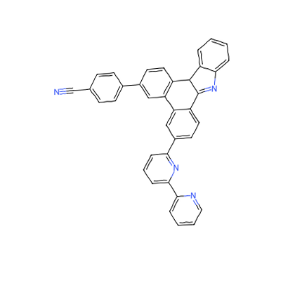 N#Cc1ccc(-c2ccc3c(c2)-c2cc(-c4cccc(-c5ccccn5)n4)ccc2C2=Nc4ccccc4C23)cc1